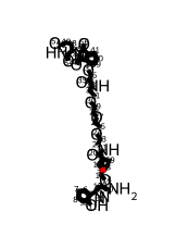 Nc1nnc(-c2ccccc2O)cc1OCC1CC2(C(=O)NCCOCCOCCOCCNC(=O)COc3cccc4c3C(=O)N(C3CCC(=O)NC3=O)C4=O)CC1C2